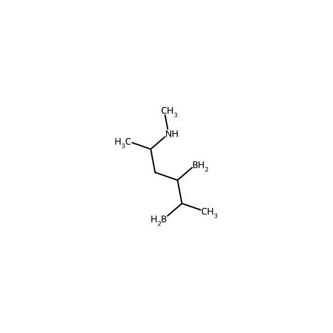 BC(C)C(B)CC(C)NC